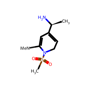 CNC1=CC([C@H](C)N)=CCN1S(C)(=O)=O